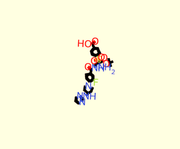 CC(C)(C)OC(=O)[C@](N)(CNC(=O)c1ccc(N2CCC(Nc3ncccn3)CC2)c(F)c1)S(=O)(=O)c1ccc(C(=O)O)cc1